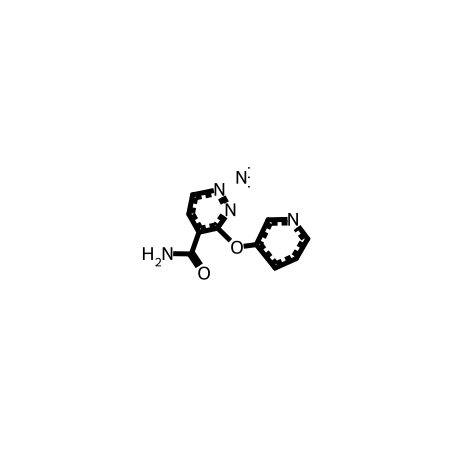 NC(=O)c1ccnnc1Oc1cccnc1.[N]